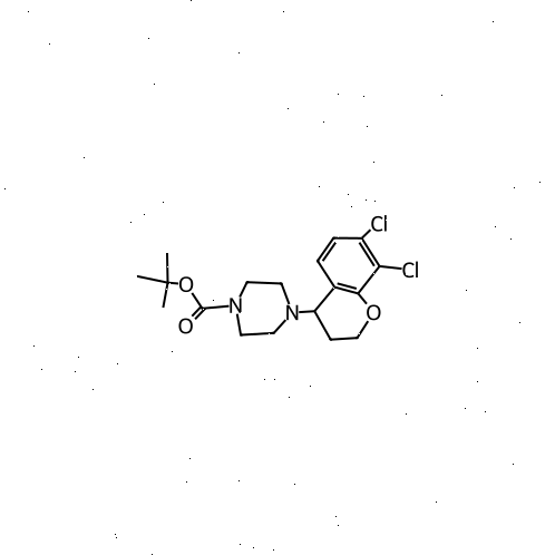 CC(C)(C)OC(=O)N1CCN(C2CCOc3c2ccc(Cl)c3Cl)CC1